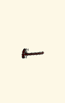 COCCOCCOCCOCCOCCOCCOCCOCCOCCOCCOCCOCCNC(=O)CCCCCN1C(=CC=CC=CC2=[N+](CCCCCC(=O)O)c3ccc(SOOO)cc3C2(C)C)C(C)(C)c2cc(S(=O)(=O)O)ccc21